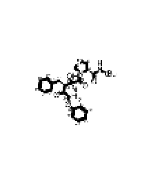 CC(C)(C)NC(=O)[C@@H]1CSCN1C(=O)[C@@](N)(O)[C@H](Cc1ccccc1)C(=O)COc1ccccc1